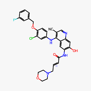 N#Cc1cnc2cc(O)c(NC(=O)/C=C/CN3CCOCC3)cc2c1Nc1ccc(OCc2cccc(F)c2)c(Cl)c1